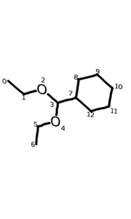 CCOC(OCC)C1CCCCC1